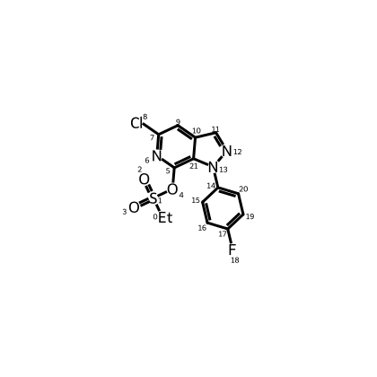 CCS(=O)(=O)Oc1nc(Cl)cc2cnn(-c3ccc(F)cc3)c12